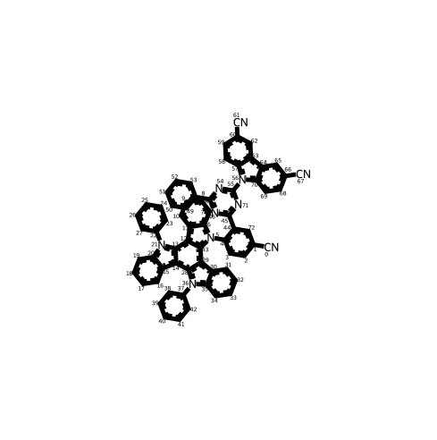 N#Cc1ccc(-n2c3ccccc3c3c4c(c5ccccc5n4-c4ccccc4)c4c(c5ccccc5n4-c4ccccc4)c32)c(-c2nc(-c3ccccc3)nc(-n3c4ccc(C#N)cc4c4cc(C#N)ccc43)n2)c1